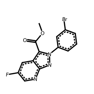 COC(=O)c1c2cc(F)cnc2nn1-c1cccc(Br)c1